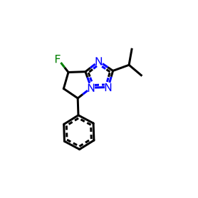 CC(C)c1nc2n(n1)C(c1ccccc1)CC2F